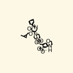 CC1CC1COc1c(N2CCN(S(=O)(=O)Cc3cc4c(cc3[N+](=O)[O-])NCCO4)CC2)cnn(-c2ccccc2)c1=O